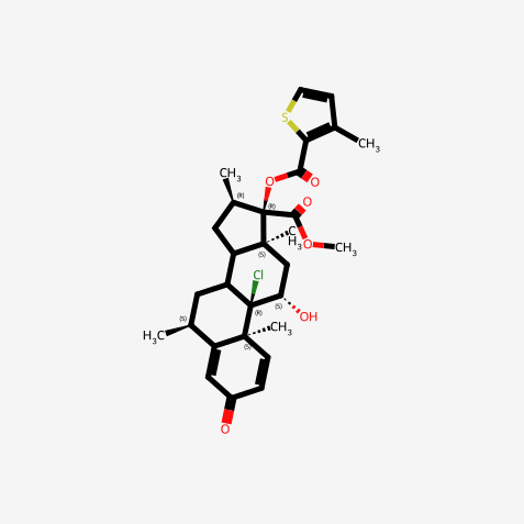 COC(=O)[C@@]1(OC(=O)c2sccc2C)[C@H](C)CC2C3C[C@H](C)C4=CC(=O)C=C[C@]4(C)[C@@]3(Cl)[C@@H](O)C[C@@]21C